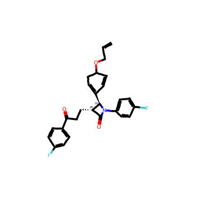 C=CCOC1C=CC([C@@H]2[C@@H](CCC(=O)c3ccc(F)cc3)C(=O)N2c2ccc(F)cc2)=CC1